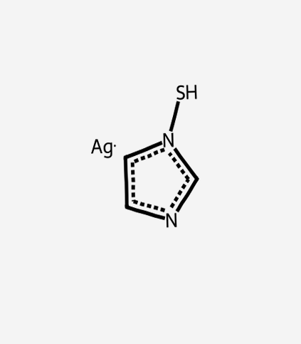 Sn1ccnc1.[Ag]